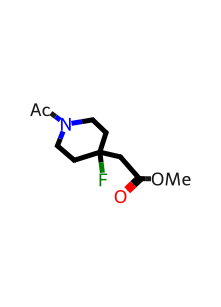 COC(=O)CC1(F)CCN(C(C)=O)CC1